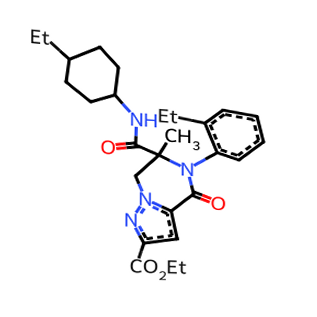 CCOC(=O)c1cc2n(n1)CC(C)(C(=O)NC1CCC(CC)CC1)N(c1ccccc1CC)C2=O